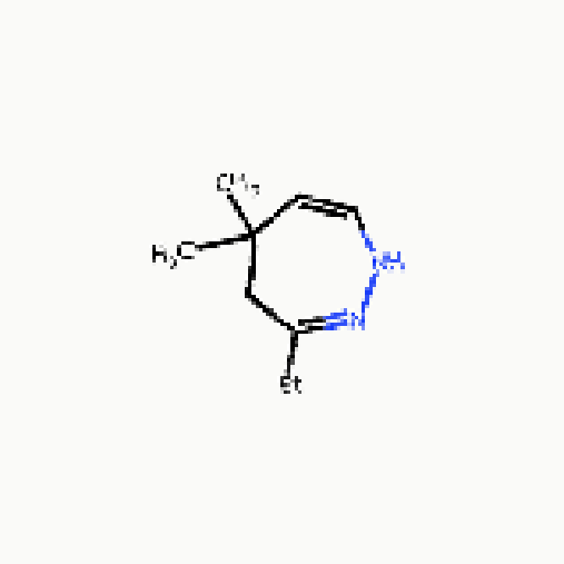 CCC1=NNC=CC(C)(C)C1